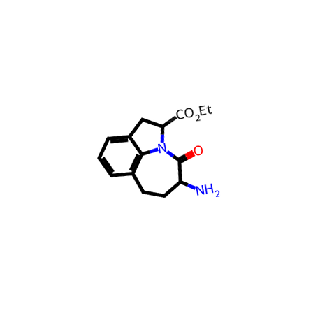 CCOC(=O)C1Cc2cccc3c2N1C(=O)C(N)CC3